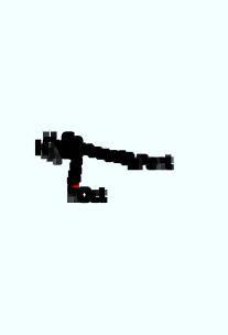 CCCCCC=CCC=CCCCCCCCCC1(CCCCCCCCC=CCCCCCCCC)OC(C)C(C)(CN)O1